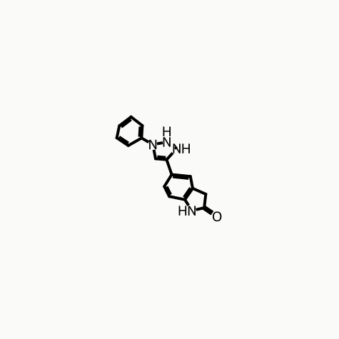 O=C1Cc2cc(C3=CN(c4ccccc4)NN3)ccc2N1